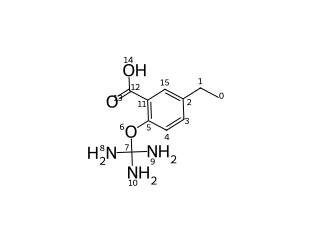 CCc1ccc(OC(N)(N)N)c(C(=O)O)c1